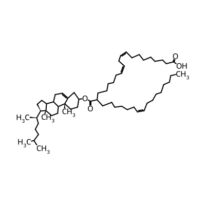 CCCCCCCC/C=C\CCCCCCC(CCCCC/C=C\C/C=C\CCCCCCCC(=O)O)C(=O)OC1CC[C@@]2(C)C(=CCC3C2CC[C@@]2(C)C3CC[C@@H]2[C@H](C)CCCC(C)C)C1